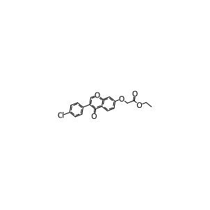 CCOC(=O)COc1ccc2c(=O)c(-c3ccc(Cl)cc3)coc2c1